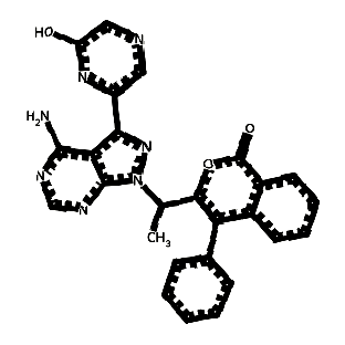 CC(c1oc(=O)c2ccccc2c1-c1ccccc1)n1nc(-c2cncc(O)n2)c2c(N)ncnc21